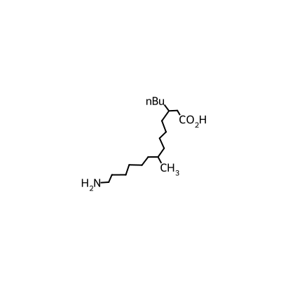 CCCCC(CCCCC(C)CCCCCCN)CC(=O)O